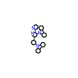 c1ccc(-c2ncc(-c3cccc(-n4c5ccccc5c5ccccc54)c3)cc2-n2c3ccccc3c3ccccc32)nc1